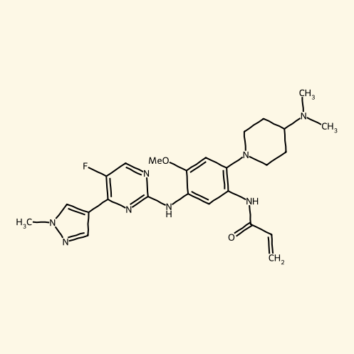 C=CC(=O)Nc1cc(Nc2ncc(F)c(-c3cnn(C)c3)n2)c(OC)cc1N1CCC(N(C)C)CC1